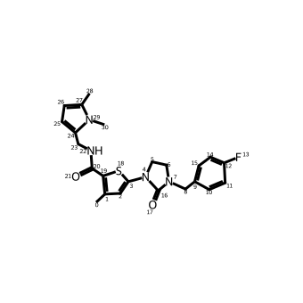 Cc1cc(N2CCN(Cc3ccc(F)cc3)C2=O)sc1C(=O)NCc1ccc(C)n1C